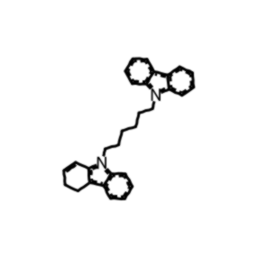 C1=Cc2c(c3ccccc3n2CCCCCCn2c3ccccc3c3ccccc32)CC1